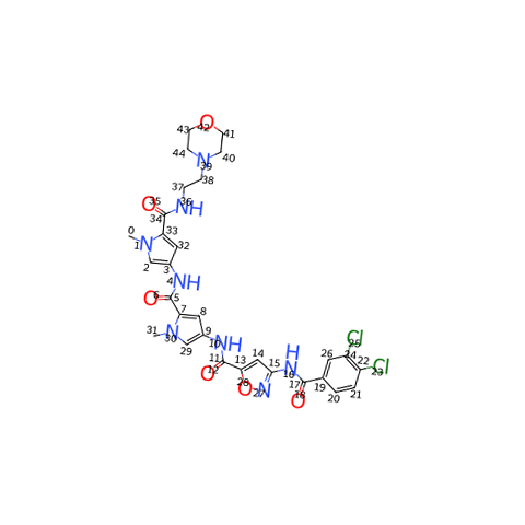 Cn1cc(NC(=O)c2cc(NC(=O)c3cc(NC(=O)c4ccc(Cl)c(Cl)c4)no3)cn2C)cc1C(=O)NCCN1CCOCC1